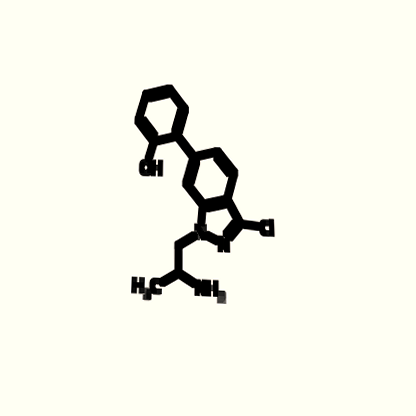 CC(N)Cn1nc(Cl)c2ccc(-c3ccccc3O)cc21